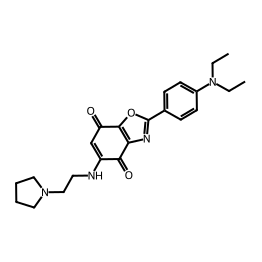 CCN(CC)c1ccc(-c2nc3c(o2)C(=O)C=C(NCCN2CCCC2)C3=O)cc1